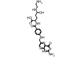 NCCNC(O)CCC(NC(=O)c1ccc(NCc2cnc3[nH]c(N)nc(=O)c3n2)cc1)C(=O)O